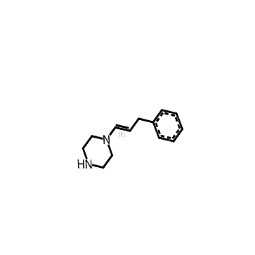 C(=C\N1CCNCC1)/Cc1ccccc1